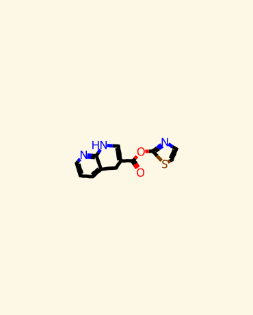 O=C(Oc1nccs1)C1=CNc2ncccc2C1